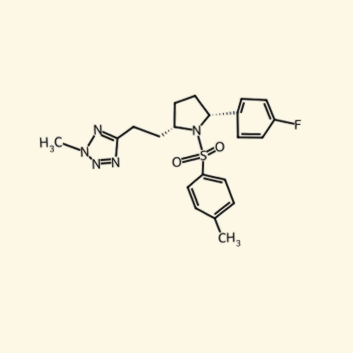 Cc1ccc(S(=O)(=O)N2[C@H](CCc3nnn(C)n3)CC[C@@H]2c2ccc(F)cc2)cc1